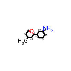 CC1CCOC(C2CCCC(N)C2)C1